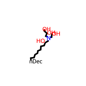 CCCCCCCCCCCCCCCCCCC(O)CN(CCO)CC(O)CO